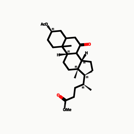 COC(=O)CC[C@@H](C)[C@H]1CC[C@H]2C3C(=O)CC4C[C@H](OC(C)=O)CCC4(C)[C@H]3CC[C@]12C